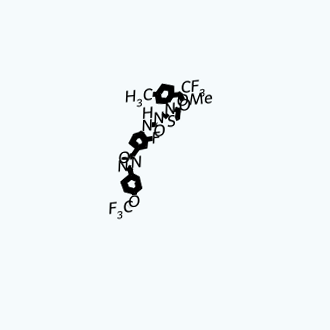 COC(c1ccc(C)cc1N1C(=O)CSC1=NC(=O)Nc1ccc(-c2nc(-c3ccc(OC(F)(F)F)cc3)no2)cc1F)C(F)(F)F